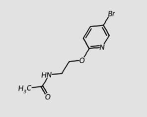 CC(=O)NCCOc1ccc(Br)cn1